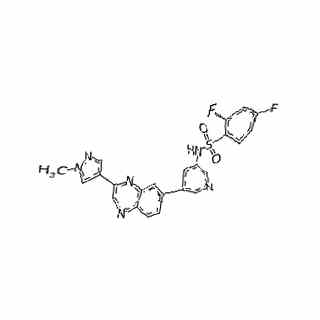 Cn1cc(-c2cnc3ccc(-c4cncc(NS(=O)(=O)c5ccc(F)cc5F)c4)cc3n2)cn1